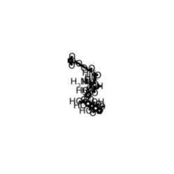 COc1cccc2c1C(=O)c1c(O)c3c(c(O)c1C2=O)C[C@@](O)(C(=O)CO)C[C@@H]3O[C@H]1C[C@H](NC(=O)C(CC(C)C)NC(=O)[C@@H](CC(N)=O)NC(=O)[C@@H](C)NC(=O)[C@@H](C)NC(=O)CCOCCOCCN2C(=O)C=CC2=O)[C@H](O)[C@H](C)O1